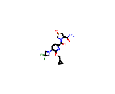 NC(=O)C1C[S+]([O-])CN1C(=O)c1ccc(N2CC(F)(F)C2)c(OCC2CC2)n1